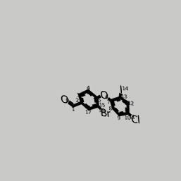 O=Cc1ccc(Oc2ccc(Cl)cc2I)c(Br)c1